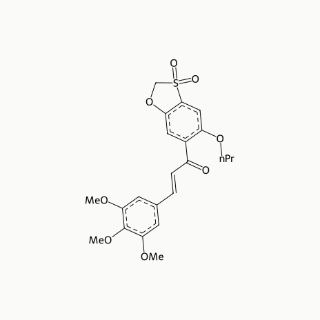 CCCOc1cc2c(cc1C(=O)C=Cc1cc(OC)c(OC)c(OC)c1)OCS2(=O)=O